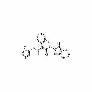 O=c1c(-c2nc3ccccc3[nH]2)cc2ccccc2n1NCc1cnc[nH]1